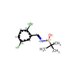 CC(C)(C)[S@+]([O-])/N=C/c1cc(F)ccc1Br